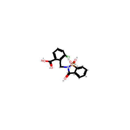 O=C(O)c1cccc(Cl)c1CN1C(=O)c2ccccc2S1(=O)=O